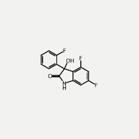 O=C1Nc2cc(F)cc(F)c2C1(O)c1ccccc1F